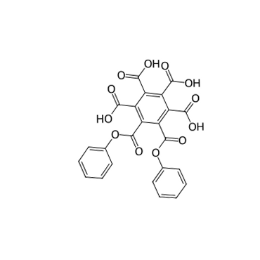 O=C(O)c1c(C(=O)O)c(C(=O)O)c(C(=O)Oc2ccccc2)c(C(=O)Oc2ccccc2)c1C(=O)O